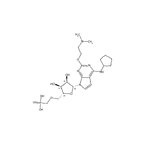 CN(C)CCOc1nc(NC2CCCC2)c2ccn([C@@H]3O[C@H](COCP(=O)(O)O)[C@@H](O)[C@H]3O)c2n1